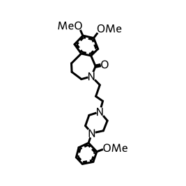 COc1cc2c(cc1OC)C(=O)N(CCCN1CCN(c3ccccc3OC)CC1)CCC2